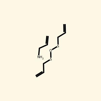 C=CCN.C=CCSOSCC=C